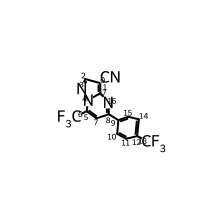 N#Cc1cnn2c(C(F)(F)F)cc(-c3ccc(C(F)(F)F)cc3)nc12